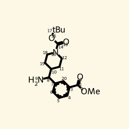 COC(=O)c1cccc(C(N)C2CCN(C(=O)OC(C)(C)C)CC2)c1